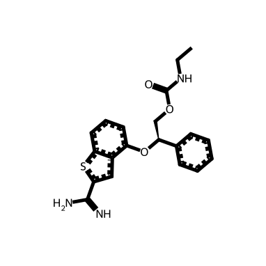 CCNC(=O)OC[C@H](Oc1cccc2sc(C(=N)N)cc12)c1ccccc1